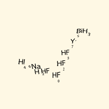 F.F.F.F.I.[BiH3].[NaH].[Y]